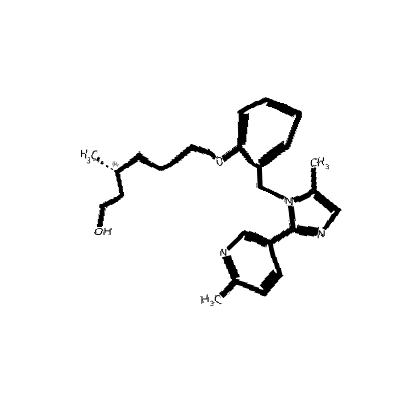 Cc1ccc(-c2ncc(C)n2Cc2ccccc2OCCC[C@@H](C)CCO)cn1